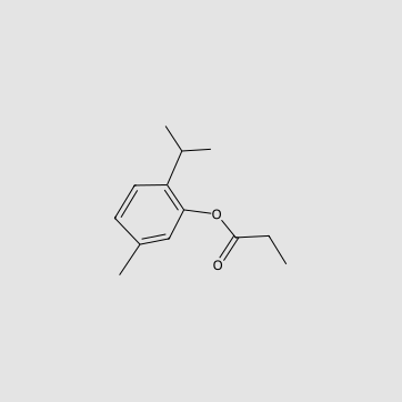 CCC(=O)Oc1cc(C)ccc1C(C)C